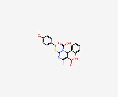 COc1ccc(CSC2=NC(C)=C(C(=O)O)C(c3ccccc3C)N2C(=O)O)cc1